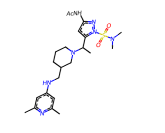 CC(=O)Nc1cc(C(C)N2CCCC(CNc3cc(C)nc(C)c3)C2)n(S(=O)(=O)N(C)C)n1